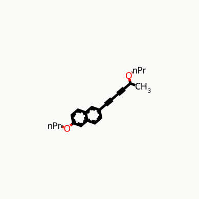 CCCOc1ccc2cc(C#CC#CC(C)OCCC)ccc2c1